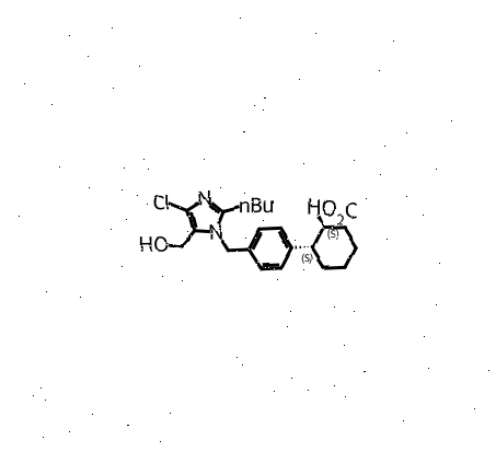 CCCCc1nc(Cl)c(CO)n1Cc1ccc([C@H]2CCCC[C@@H]2C(=O)O)cc1